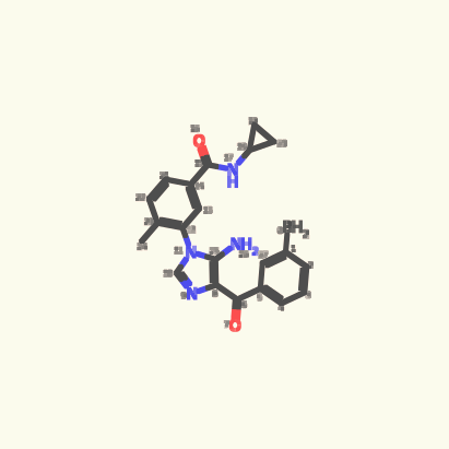 Bc1cccc(C(=O)c2ncn(-c3cc(C(=O)NC4CC4)ccc3C)c2N)c1